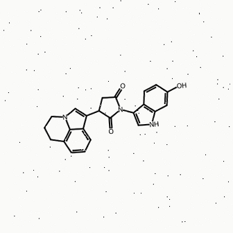 O=C1CC(c2cn3c4c(cccc24)CCC3)C(=O)N1c1c[nH]c2cc(O)ccc12